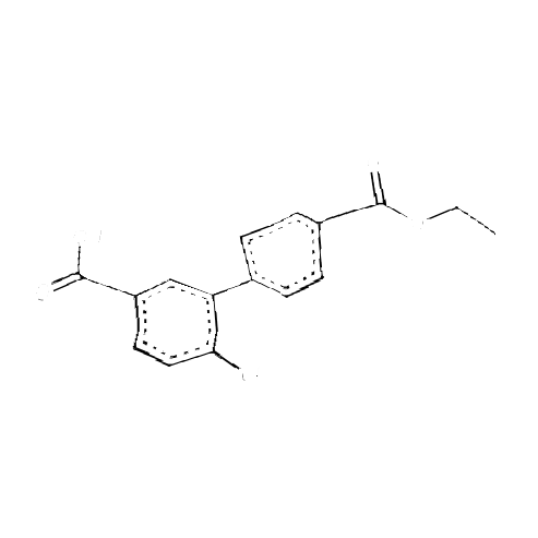 CCOC(=O)c1ccc(-c2cc(C(=O)O)ccc2Cl)cc1